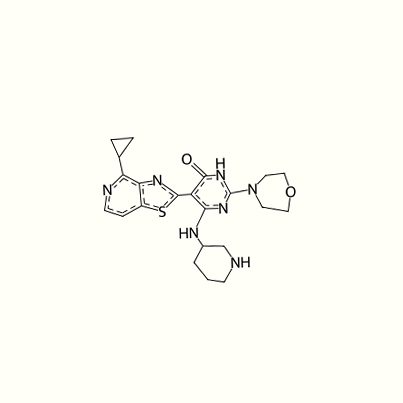 O=c1[nH]c(N2CCOCC2)nc(NC2CCCNC2)c1-c1nc2c(C3CC3)nccc2s1